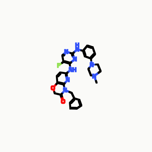 CN1CCN(c2cccc(Nc3ncc(F)c(Nc4ccc5c(n4)N(Cc4ccccc4)C(=O)CO5)n3)c2)CC1